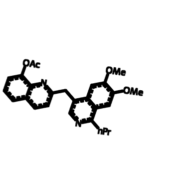 CCCc1ncc(Cc2ccc3cccc(OC(C)=O)c3n2)c2cc(OC)c(OC)cc12